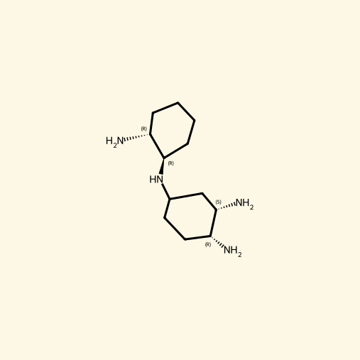 N[C@@H]1CCC(N[C@@H]2CCCC[C@H]2N)C[C@@H]1N